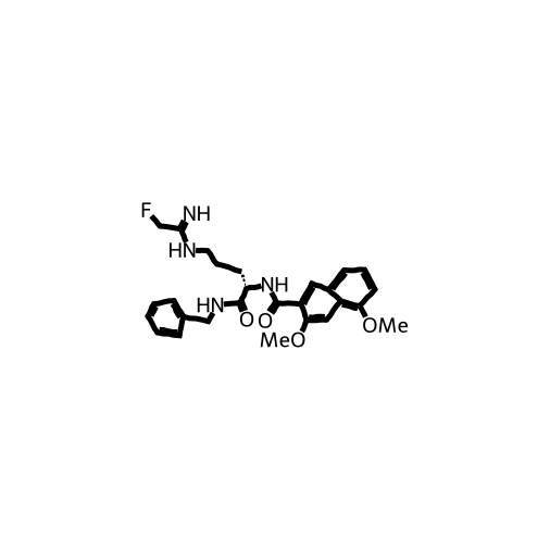 COc1cc2c(OC)cccc2cc1C(=O)N[C@@H](CCCNC(=N)CF)C(=O)NCc1ccccc1